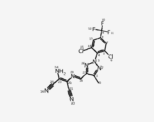 Cc1nn(-c2c(Cl)cc(C(F)(F)F)cc2Cl)nc1C=NC(C#N)=C(N)C#N